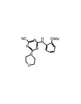 COc1ccccc1Nc1nc(C#N)nc(N2CCOCC2)n1